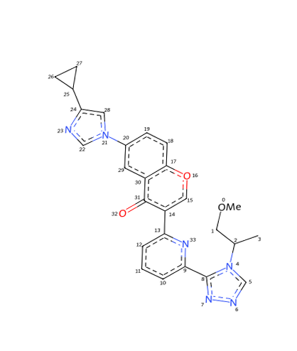 COCC(C)n1cnnc1-c1cccc(-c2coc3ccc(-n4cnc(C5CC5)c4)cc3c2=O)n1